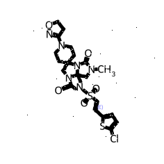 CN1CC23CN(S(=O)(=O)/C=C/c4ccc(Cl)s4)CC(=O)N2CC2(CCN(C4=NOCC4)CC2)N3C1=O